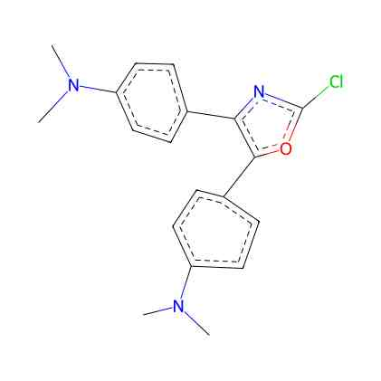 CN(C)c1ccc(-c2nc(Cl)oc2-c2ccc(N(C)C)cc2)cc1